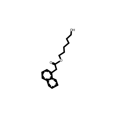 O=C(Cc1cccc2ccccc12)OCCCCCCO